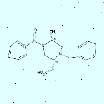 C[C@@H]1CN(Cc2ccccc2)[C@H](CC(=O)O)CN1C(=O)c1ccccc1